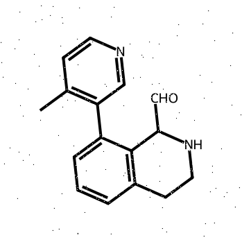 Cc1ccncc1-c1cccc2c1C(C=O)NCC2